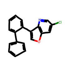 Clc1cnc2c(-c3ccccc3-c3ccccc3)coc2c1